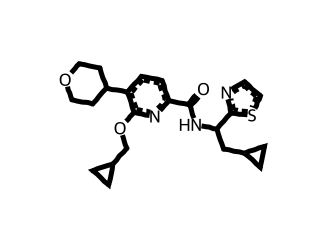 O=C(NC(CC1CC1)c1nccs1)c1ccc(C2CCOCC2)c(OCC2CC2)n1